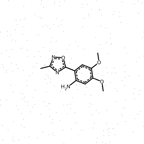 COc1cc(N)c(-c2nc(C)no2)cc1OC